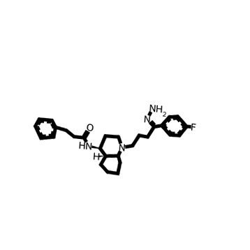 NN=C(CCCN1CC[C@H](NC(=O)CCc2ccccc2)[C@@H]2CCCCC21)c1ccc(F)cc1